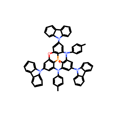 Cc1ccc(N2c3cc(-n4c5ccccc5c5ccccc54)cc4c3P3(=O)c5c(cc(-n6c7ccccc7c7ccccc76)cc5N(c5ccc(C)cc5)c5cc(-n6c7ccccc7c7ccccc76)cc2c53)O4)cc1